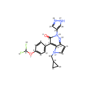 O=c1c(-c2ccc(OC(F)F)cc2)c2c(ccn2CC2CC2)nn1-c1cn[nH]c1